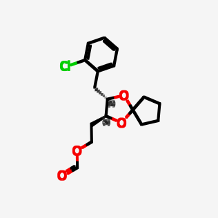 O=COCC[C@@H]1OC2(CCCC2)O[C@H]1Cc1ccccc1Cl